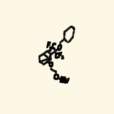 CCC(C)OCCOC12CC3CC(C1)CC(C(OCC1CCCCC1)(C(F)(F)F)C(F)(F)F)(C3)C2